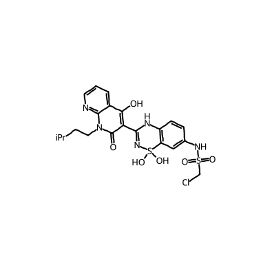 CC(C)CCn1c(=O)c(C2=NS(O)(O)c3cc(NS(=O)(=O)CCl)ccc3N2)c(O)c2cccnc21